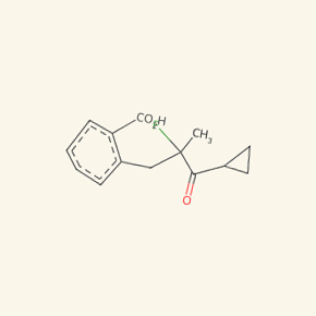 CC(F)(Cc1ccccc1C(=O)O)C(=O)C1CC1